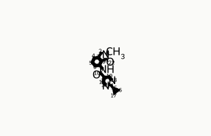 CN1Cc2cccc(NC(=O)c3cnc(C4CC4)nc3)c2C1=O